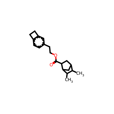 CC1C2CC(C(=O)OCCc3ccc4c(c3)CC4)C(C2)C1C